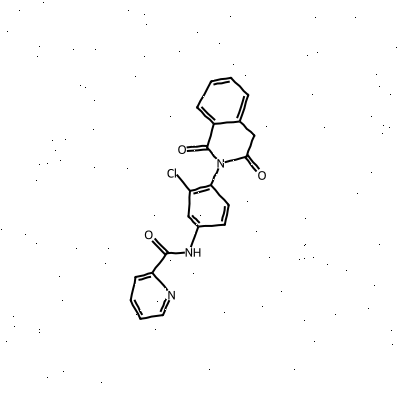 O=C(Nc1ccc(N2C(=O)Cc3ccccc3C2=O)c(Cl)c1)c1ccccn1